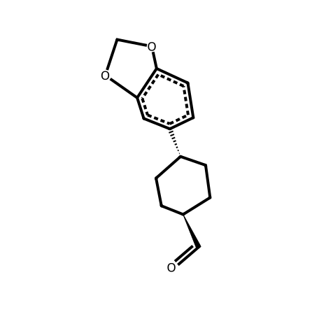 O=C[C@H]1CC[C@H](c2ccc3c(c2)OCO3)CC1